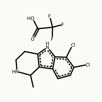 CC1NCCc2[nH]c3c(Cl)c(Cl)ccc3c21.O=C(O)C(F)(F)F